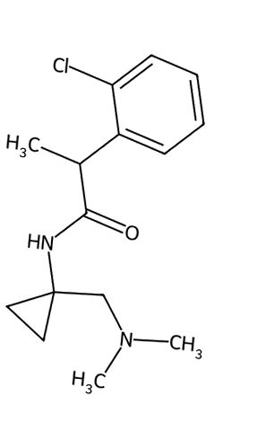 CC(C(=O)NC1(CN(C)C)CC1)c1ccccc1Cl